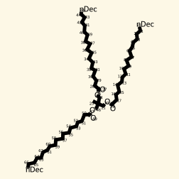 CCCCCCCCCCCCCCCCCCCCCCCCCCCC(=O)OCC(C)(COC(=O)CCCCCCCCCCCCCCCCCCCCCCCCCCC)COC(=O)CCCCCCCCCCCCCCCCCCCCCCCCCCC